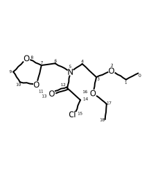 CCOC(CN(CC1OCCO1)C(=O)CCl)OCC